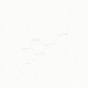 C=C(C)CCc1c(C)c(OC)c(OC)c(OC)c1OC